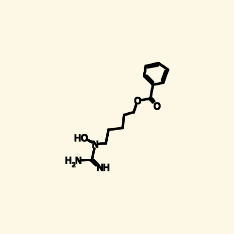 N=C(N)N(O)CCCCCOC(=O)c1ccccc1